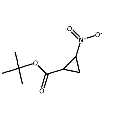 CC(C)(C)OC(=O)C1CC1[N+](=O)[O-]